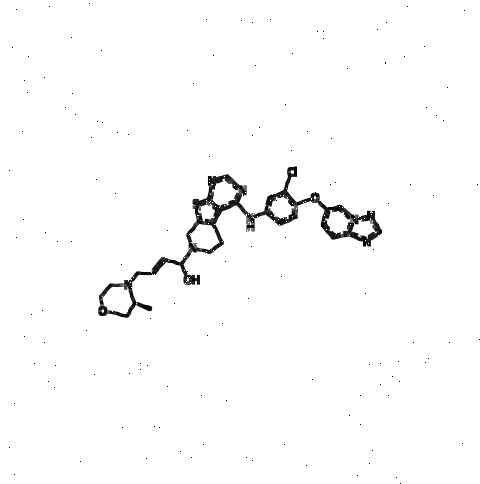 C[C@H]1COCCN1C/C=C/C(O)N1CCc2c(sc3ncnc(Nc4ccc(Oc5ccc6ncnn6c5)c(Cl)c4)c23)C1